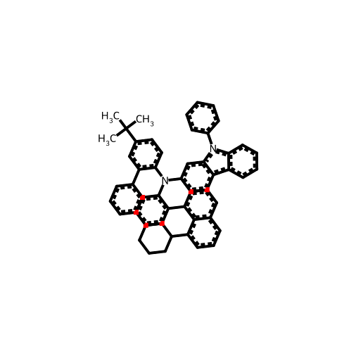 CC(C)(C)c1ccc(N(c2ccc3c4ccccc4n(-c4ccccc4)c3c2)c2ccccc2-c2cccc3cccc(C4CCCCC4)c23)c(-c2ccccc2)c1